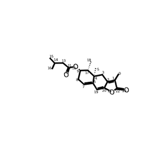 CC1=C2C[C@@]3(C)C(=CC[C@H](OC(=O)CC(C)C)[C@@H]3C)C=C2OC1=O